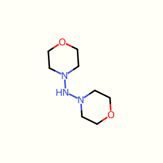 C1CN(NN2CCOCC2)CCO1